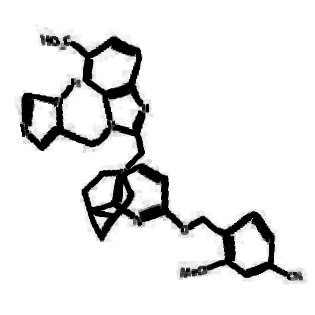 CCn1cncc1Cn1c(CN2CCC3(c4cccc(OCc5ccc(C#N)cc5OC)n4)CC3C2)nc2ccc(C(=O)O)cc21